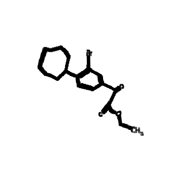 CCOC(=O)C(=O)c1ccc(C2CCCCCC2)c(Br)c1